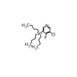 CCC[CH2][Sn]([CH2]CCC)([CH2]CCC)[c]1cncc(Cl)c1F